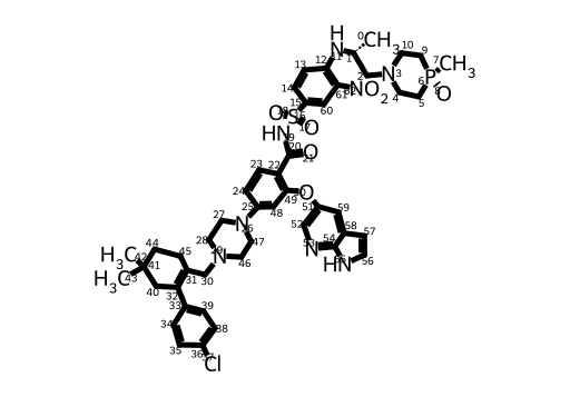 C[C@H](CN1CCP(C)(=O)CC1)Nc1ccc(S(=O)(=O)NC(=O)c2ccc(N3CCN(CC4=C(c5ccc(Cl)cc5)CC(C)(C)CC4)CC3)cc2Oc2cnc3[nH]ccc3c2)cc1[N+](=O)[O-]